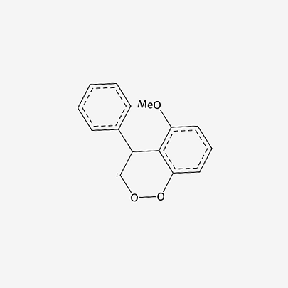 COc1cccc2c1C(c1ccccc1)[C]OO2